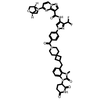 Cn1c(=O)n(C2CCC(=O)NC2=O)c2cccc(CC3CC4(CCN(C(=O)c5ccc(-n6cc(NC(=O)c7cnn8ccc(N9C[C@H]%10C[C@@H]9CO%10)nc78)c(C(F)F)n6)cc5)CC4)C3)c21